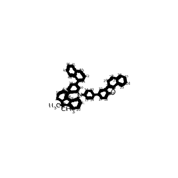 CC1(C)c2ccccc2-c2c(N(c3ccc(-c4ccc5oc6c7ccccc7ccc6c5c4)cc3)c3cccc(-c4cccc5ccccc45)c3)cccc21